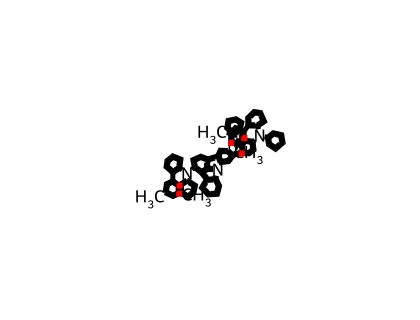 Cc1cc(C)cc(-c2ccccc2N(c2ccccc2)c2ccc3c4cc5c(cc4n4c6ccccc6c2c34)c2ccc(N(c3ccccc3)c3ccccc3-c3cc(C)cc(C)c3)c3c4ccccc4n5c23)c1